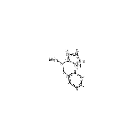 CNC(Cc1ccccc1)c1nnn[nH]1